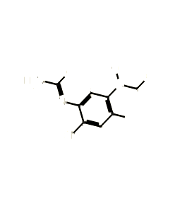 N/C(=N/c1cc([S+]([O-])CC(F)(F)F)c(Cl)cc1Cl)C(F)(F)F